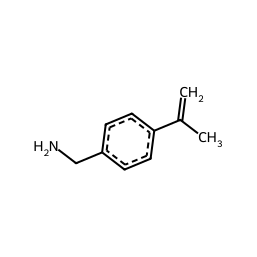 C=C(C)c1ccc(CN)cc1